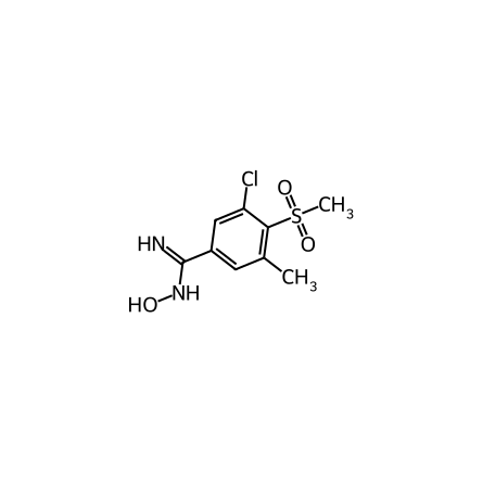 Cc1cc(C(=N)NO)cc(Cl)c1S(C)(=O)=O